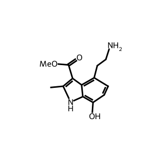 COC(=O)c1c(C)[nH]c2c(O)ccc(CCN)c12